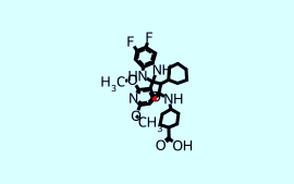 COc1ccc(C2(C(C(=O)NC3CCC(C(=O)O)CC3)C3CCCCC3)Nc3cc(F)c(F)cc3N2)c(OC)n1